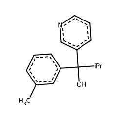 Cc1cccc(C(O)(c2cccnc2)C(C)C)c1